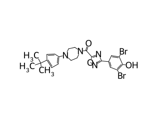 CC(C)(C)c1ccc(N2CCN(C(=O)c3nc(-c4cc(Br)c(O)c(Br)c4)no3)CC2)cc1